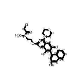 CN(CCOc1nc(N2CCOCC2)c2cc(Cl)c(-c3cc(O)cc4ccccc34)c(F)c2n1)C(=O)CCl